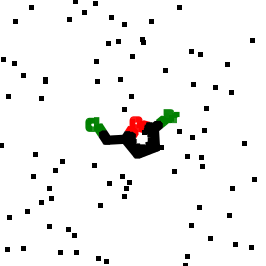 ClCc1ccc(Br)o1